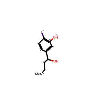 CNCCC(O)c1ccc(I)c(O)c1